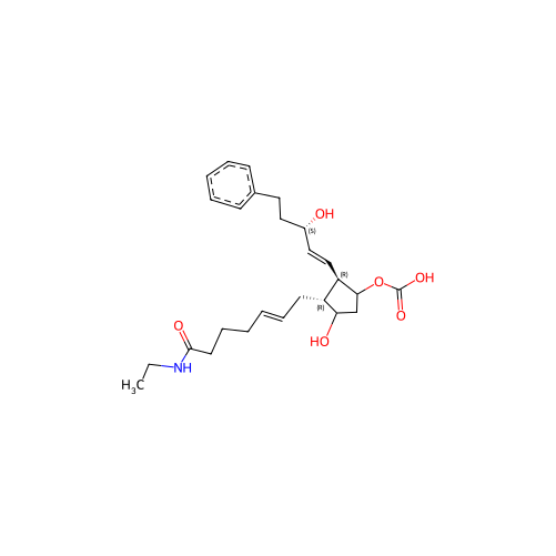 CCNC(=O)CCCC=CC[C@H]1C(O)CC(OC(=O)O)[C@@H]1C=C[C@@H](O)CCc1ccccc1